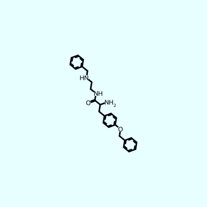 NC(Cc1ccc(OCc2ccccc2)cc1)C(=O)NCCNCc1ccccc1